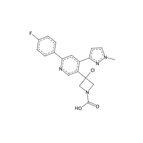 Cn1ccc(-c2cc(-c3ccc(F)cc3)ncc2C2(Cl)CN(C(=O)O)C2)n1